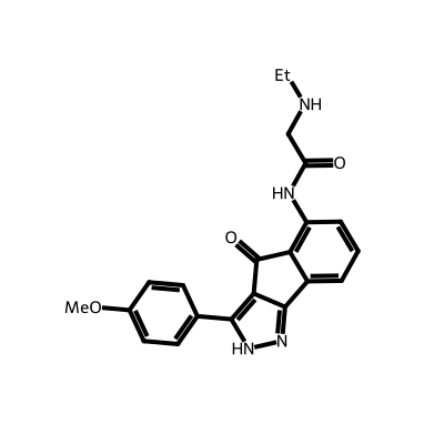 CCNCC(=O)Nc1cccc2c1C(=O)c1c-2n[nH]c1-c1ccc(OC)cc1